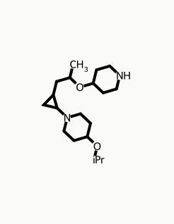 CC(C)OC1CCN(C2CC2CC(C)OC2CCNCC2)CC1